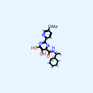 COc1ccc(-c2nc(O)c(O)c(C(=O)NC(C)C3CCCCC3)n2)nc1